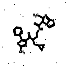 Cc1nc(C(=O)N(CCNC(=O)c2c(C)nc3sccn23)CC2CC2)c(-c2ccccc2)s1